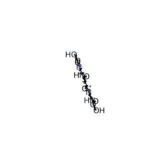 O=C(NCSC/N=C/[S+]([O-])CSCSC(=O)NCSC/N=C/OOCCO)OCCO